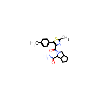 Cc1ccc(-c2sc(C)nc2C(=O)N2CC3CCCC3C2C(N)=O)cc1